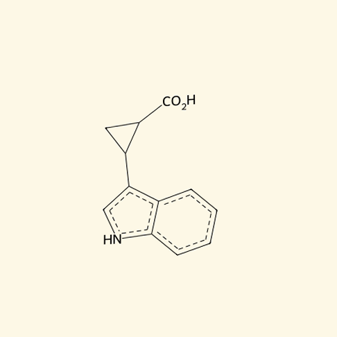 O=C(O)C1CC1c1c[nH]c2ccccc12